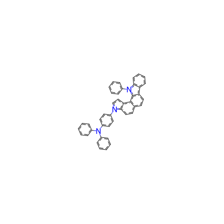 c1ccc(N(c2ccccc2)c2ccc(-n3ccc4c5c(ccc6c7ccccc7n(-c7ccccc7)c65)ccc43)cc2)cc1